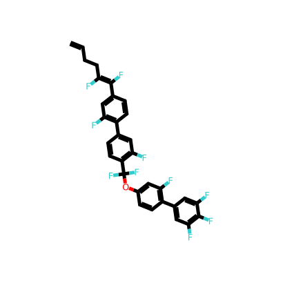 C=CCC/C(F)=C(\F)c1ccc(-c2ccc(C(F)(F)Oc3ccc(-c4cc(F)c(F)c(F)c4)c(F)c3)c(F)c2)c(F)c1